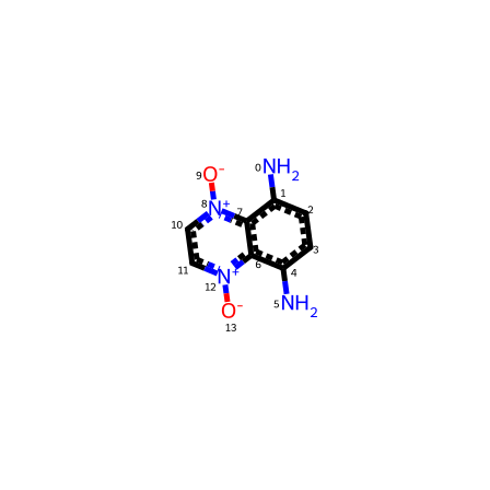 Nc1ccc(N)c2c1[n+]([O-])cc[n+]2[O-]